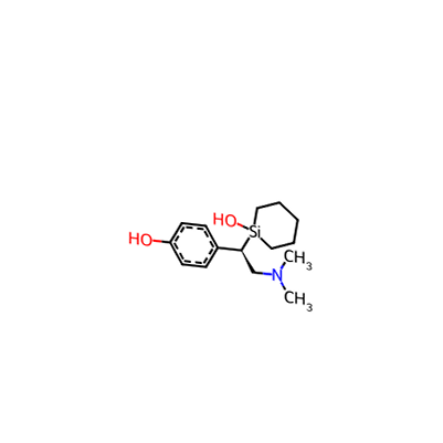 CN(C)C[C@@H](c1ccc(O)cc1)[Si]1(O)CCCCC1